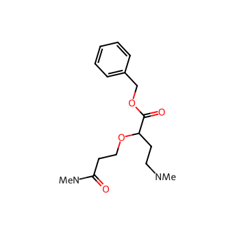 CNCCC(OCCC(=O)NC)C(=O)OCc1ccccc1